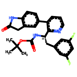 CC(C)(C)OC(=O)N[C@@H](Cc1cc(F)cc(F)c1)c1ncccc1-c1ccc2c(c1)CC(=O)N2